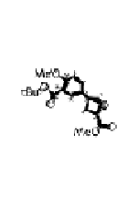 COC(=O)C12CC(c3ccc(OC)c(C(=O)OC(C)(C)C)c3)(CO1)C2